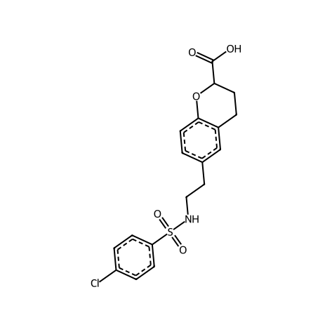 O=C(O)C1CCc2cc(CCNS(=O)(=O)c3ccc(Cl)cc3)ccc2O1